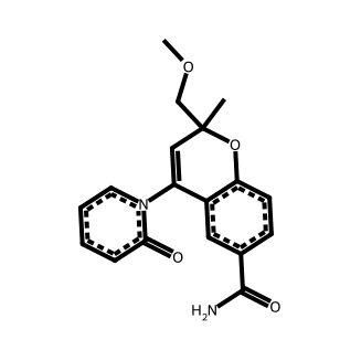 COCC1(C)C=C(n2ccccc2=O)c2cc(C(N)=O)ccc2O1